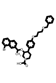 CC(OC1CN(C(=O)O)CCC1c1ccc(OCCCOCc2ccccc2)cc1)c1ccc2cccc(Br)c2c1